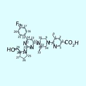 Cc1cc(C(=O)O)cnc1N1CCN(c2cc(-c3ccc(F)cc3)nc(N3CCC[C@H]3CO)n2)[C@H](C)C1